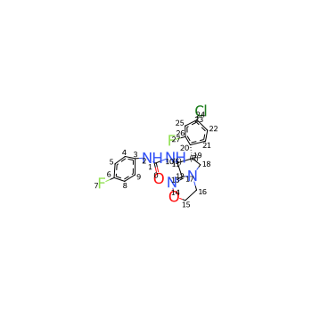 O=C(Nc1ccc(F)cc1)N[C@@H]1C2=NOCCN2C[C@H]1c1ccc(Cl)cc1F